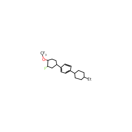 CCC1CCC(c2ccc(C3CCC(OC(F)(F)F)C(F)C3)cc2)CC1